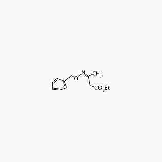 CCOC(=O)CC(C)=NOCc1ccccc1